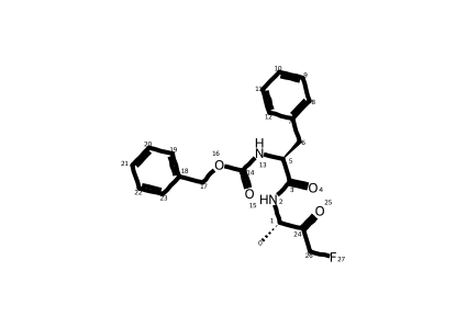 C[C@H](NC(=O)[C@H](Cc1ccccc1)NC(=O)OCc1ccccc1)C(=O)CF